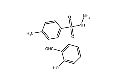 Cc1ccc(S(=O)(=O)NN)cc1.O=Cc1ccccc1O